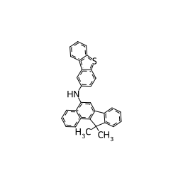 CC1(C)c2ccccc2-c2cc(Nc3ccc4sc5ccccc5c4c3)c3ccccc3c21